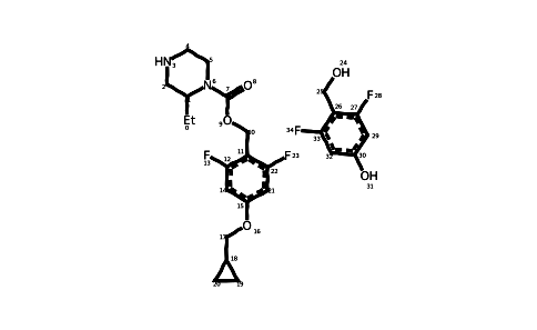 CCC1CNCCN1C(=O)OCc1c(F)cc(OCC2CC2)cc1F.OCc1c(F)cc(O)cc1F